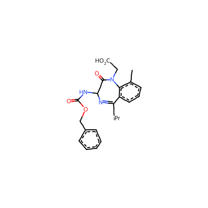 Cc1cccc2c1N(CC(=O)O)C(=O)C(NC(=O)OCc1ccccc1)N=C2C(C)C